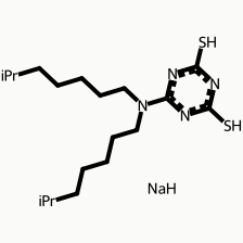 CC(C)CCCCCN(CCCCCC(C)C)c1nc(S)nc(S)n1.[NaH]